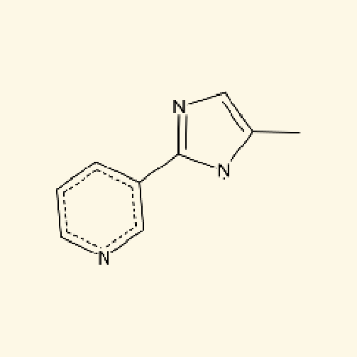 CC1=CN=C(c2cccnc2)[N]1